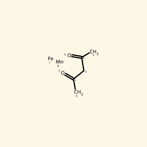 CC(=O)CC(C)=O.[Fe].[Mn]